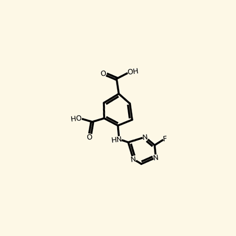 O=C(O)c1ccc(Nc2ncnc(F)n2)c(C(=O)O)c1